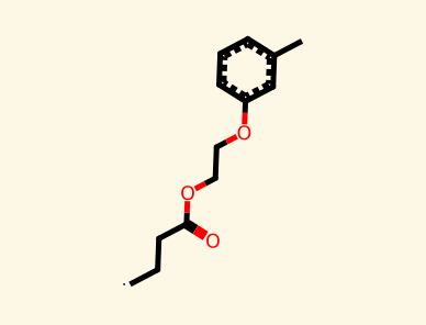 [CH2]CCC(=O)OCCOc1cccc(C)c1